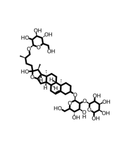 C[C@H](CCC1(O)OC2C[C@H]3[C@@H]4CC=C5CC(O[C@@H]6OC(CO)[C@@H](O)[C@H](O)C6O[C@@H]6OC(O)[C@H](O)[C@H](O)C6O)CC[C@]5(C)[C@H]4CC[C@]3(C)[C@H]2[C@@H]1C)CO[C@@H]1OC(CO)[C@@H](O)[C@H](O)C1O